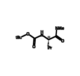 CNC(=O)[C@@H](NC(=O)OC(C)(C)C)C(C)C